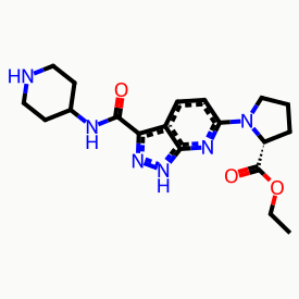 CCOC(=O)[C@H]1CCCN1c1ccc2c(C(=O)NC3CCNCC3)n[nH]c2n1